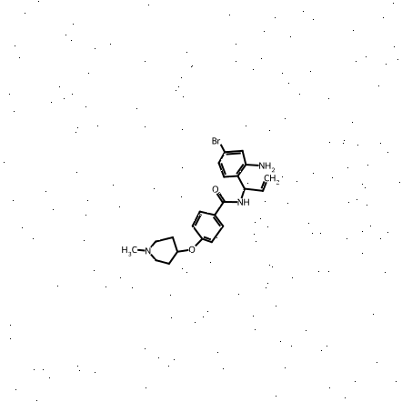 C=CC(NC(=O)c1ccc(OC2CCN(C)CC2)cc1)c1ccc(Br)cc1N